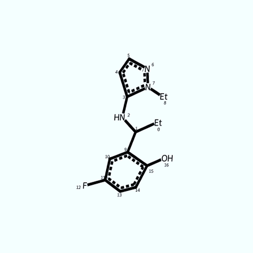 CCC(Nc1ccnn1CC)c1cc(F)ccc1O